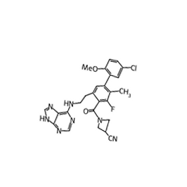 COc1ccc(Cl)cc1-c1cc(CCNc2ncnc3[nH]cnc23)c(C(=O)N2CC(C#N)C2)c(F)c1C